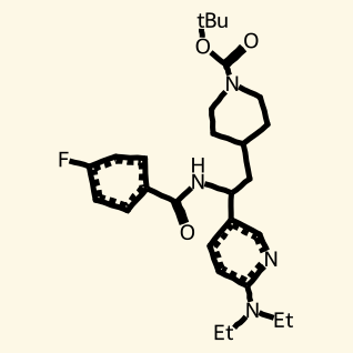 CCN(CC)c1ccc(C(CC2CCN(C(=O)OC(C)(C)C)CC2)NC(=O)c2ccc(F)cc2)cn1